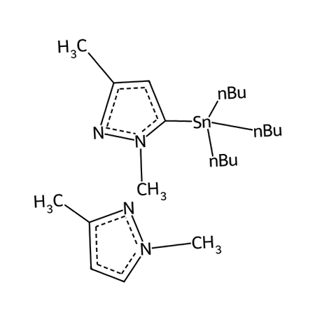 CCC[CH2][Sn]([CH2]CCC)([CH2]CCC)[c]1cc(C)nn1C.Cc1ccn(C)n1